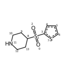 O=S(=O)(c1cccs1)C1CCNCC1